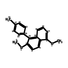 COc1ccc2c(OC)nccc2c1-c1ccc(C)cn1